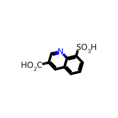 O=C(O)c1cnc2c(S(=O)(=O)O)cccc2c1